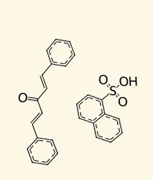 O=C(C=Cc1ccccc1)C=Cc1ccccc1.O=S(=O)(O)c1cccc2ccccc12